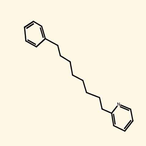 c1ccc(CCCCCCCCc2ccccn2)cc1